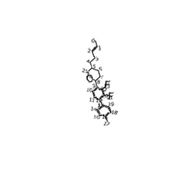 C/C=C/CCC1CCC(c2ccc(-c3ccc(C)cc3)c(F)c2F)OC1